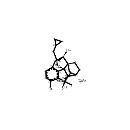 CO[C@@]12CC[C@]3(CC1[C@](C)(O)C(C)(C)C)[C@H]1Cc4ccc(O)c5c4[C@@]3(CCN1CC1CC1)C2O5